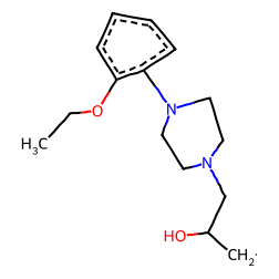 [CH2]C(O)CN1CCN(c2ccccc2OCC)CC1